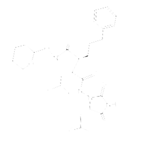 CC(C)C[C@@H](C(=O)NN1C(=S)NC(=O)[C@@H]1CC(C)C)[C@H](CCCc1ccccc1)C(=O)NOC1CCCCO1